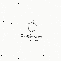 CCCCCCC[CH2][Sn]([CH2]CCCCCCC)([CH2]CCCCCCC)[c]1ccc(C)cc1